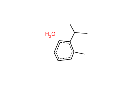 Cc1ccccc1C(C)C.O